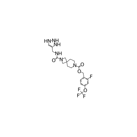 O=C(NCC1=CNNN1)N1CC2(CCN(C(=O)OCc3ccc(OC(F)(F)F)cc3F)CC2)C1